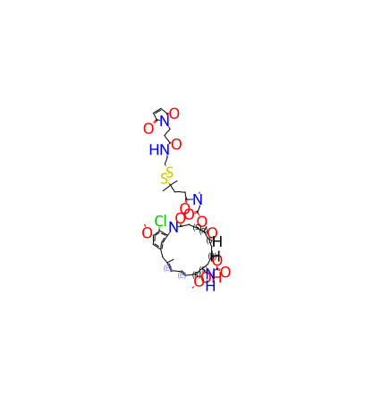 COc1cc2cc(c1Cl)N(C)C(=O)C[C@H](OC(=O)CN(C)C(=O)CCC(C)(C)SSCCNC(=O)CCN1C(=O)C=CC1=O)[C@]1(C)O[C@H]1C[C@@H]1C[C@@](O)(NC(=O)O1)[C@H](OC)/C=C/C=C(\C)C2